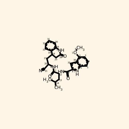 COc1cccc2[nH]c(C(=O)NC(CC(C)C)C(=O)NC(C#N)CC3CC(=O)Nc4ccccc43)cc12